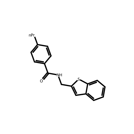 CCCc1ccc(C(=O)NCc2cc3ccccc3s2)cc1